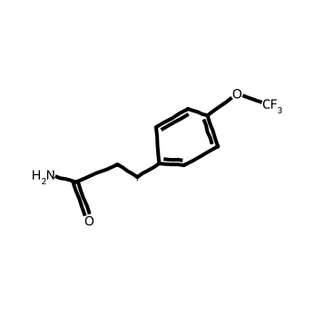 NC(=O)C[CH]c1ccc(OC(F)(F)F)cc1